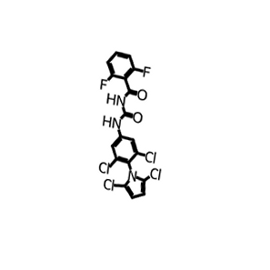 O=C(NC(=O)c1c(F)cccc1F)Nc1cc(Cl)c(-n2c(Cl)ccc2Cl)c(Cl)c1